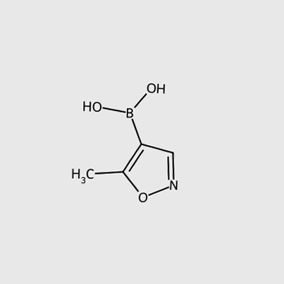 Cc1oncc1B(O)O